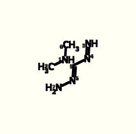 CNC.N=NC=NN